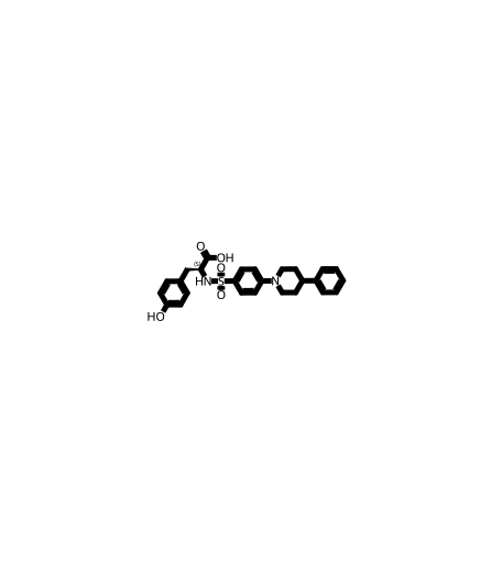 O=C(O)[C@H](Cc1ccc(O)cc1)NS(=O)(=O)c1ccc(N2CCC(c3ccccc3)CC2)cc1